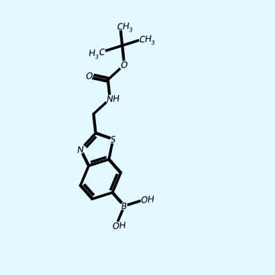 CC(C)(C)OC(=O)NCc1nc2ccc(B(O)O)cc2s1